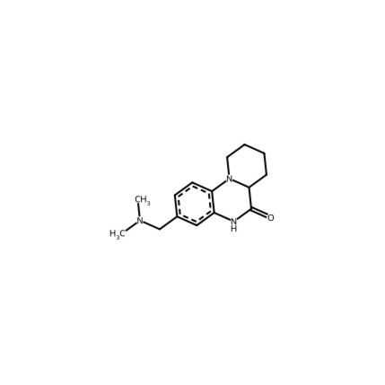 CN(C)Cc1ccc2c(c1)NC(=O)C1CCCCN21